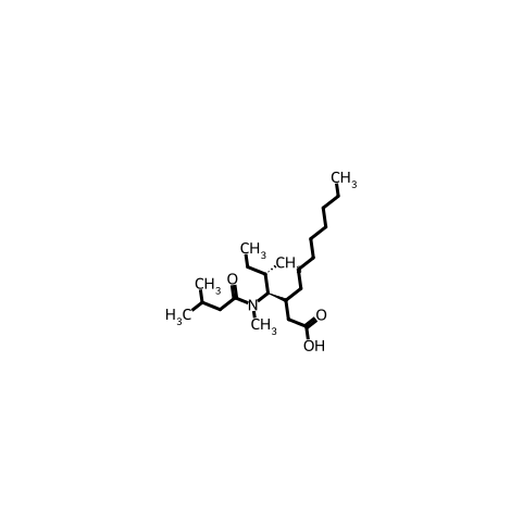 CCCCCCCCC(CC(=O)O)[C@H]([C@@H](C)CC)N(C)C(=O)CC(C)C